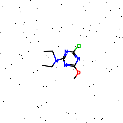 CCN(CC)c1nc(Cl)nc(OC)n1